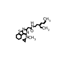 C=C/C(=C\C=C/C)CCNC(=O)Cc1nc(N(C)C2CC2)c2c3c(sc2n1)CCCC3